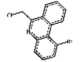 ClCc1nc2cccc(Br)c2c2ccccc12